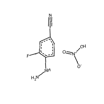 N#Cc1ccc(NN)c(F)c1.O=[N+]([O-])O